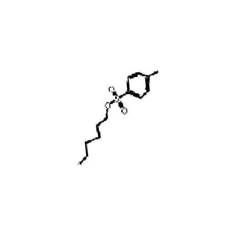 [CH2]CCCCCOS(=O)(=O)c1ccc(C)cc1